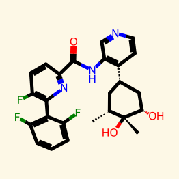 C[C@@H]1C[C@H](c2ccncc2NC(=O)c2ccc(F)c(-c3c(F)cccc3F)n2)C[C@H](O)[C@]1(C)O